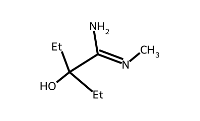 CCC(O)(CC)C(N)=NC